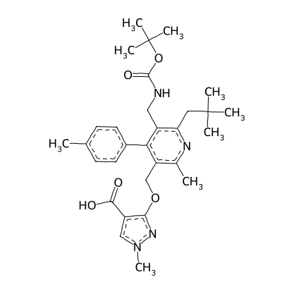 Cc1ccc(-c2c(COc3nn(C)cc3C(=O)O)c(C)nc(CC(C)(C)C)c2CNC(=O)OC(C)(C)C)cc1